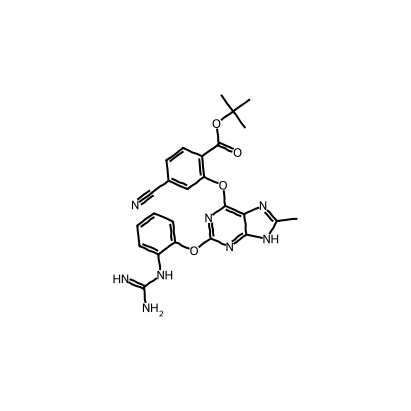 Cc1nc2c(Oc3cc(C#N)ccc3C(=O)OC(C)(C)C)nc(Oc3ccccc3NC(=N)N)nc2[nH]1